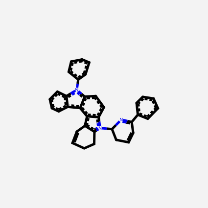 C1=Cc2c(n(C3CC=CC(c4ccccc4)=N3)c3ccc4c(c5ccccc5n4-c4ccccc4)c23)CC1